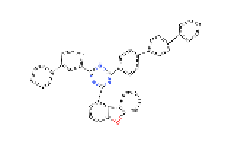 c1ccc(-c2ccc(-c3ccc(-c4nc(-c5cccc(-c6ccccc6)c5)nc(-c5cccc6oc7ccccc7c56)n4)cc3)cc2)cc1